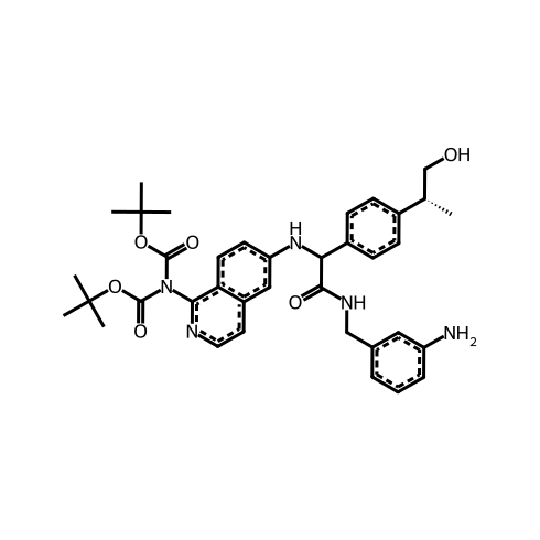 C[C@@H](CO)c1ccc(C(Nc2ccc3c(N(C(=O)OC(C)(C)C)C(=O)OC(C)(C)C)nccc3c2)C(=O)NCc2cccc(N)c2)cc1